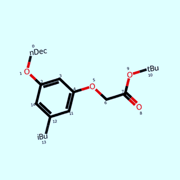 CCCCCCCCCCOc1cc(OCC(=O)OC(C)(C)C)cc(C(C)CC)c1